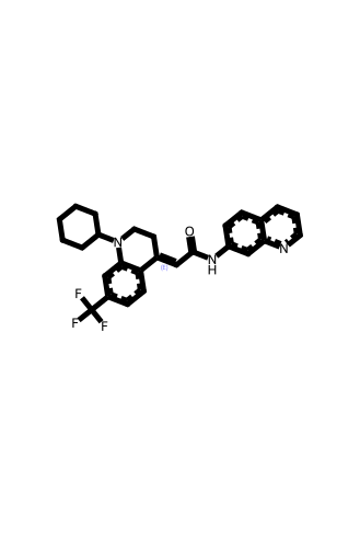 O=C(/C=C1\CCN(C2CCCCC2)c2cc(C(F)(F)F)ccc21)Nc1ccc2cccnc2c1